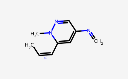 C=NC1=C=C(/C=C\C)N(C)N=C1